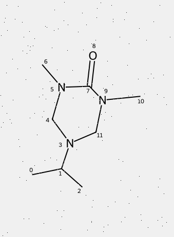 CC(C)N1CN(C)C(=O)N(C)C1